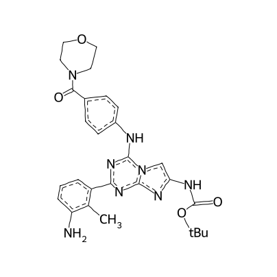 Cc1c(N)cccc1-c1nc(Nc2ccc(C(=O)N3CCOCC3)cc2)n2cc(NC(=O)OC(C)(C)C)nc2n1